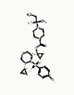 CCC(C)(C)N1CCN(C(=O)OC2([C@H]3COC[C@@H](C4CC4)N3S(=O)(=O)c3ccc(Cl)cc3)CC2)CC1